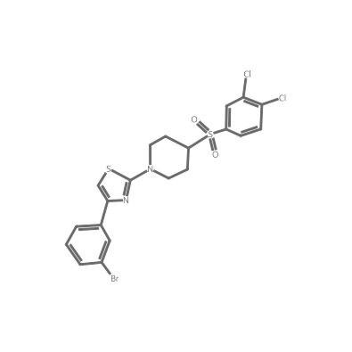 O=S(=O)(c1ccc(Cl)c(Cl)c1)C1CCN(c2nc(-c3cccc(Br)c3)cs2)CC1